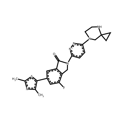 Cc1nc(C)c(-c2cc(F)c3c(c2)C(=O)N(c2ccc(N4CCNC5(CC5)C4)nn2)C3)s1